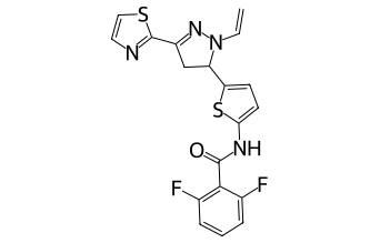 C=CN1N=C(c2nccs2)CC1c1ccc(NC(=O)c2c(F)cccc2F)s1